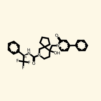 O=C(N[C@H](c1ccccc1)C(F)(F)F)N1CCC(O)(Cn2ccc(-c3ccccc3)cc2=O)C2(CCCC2)C1